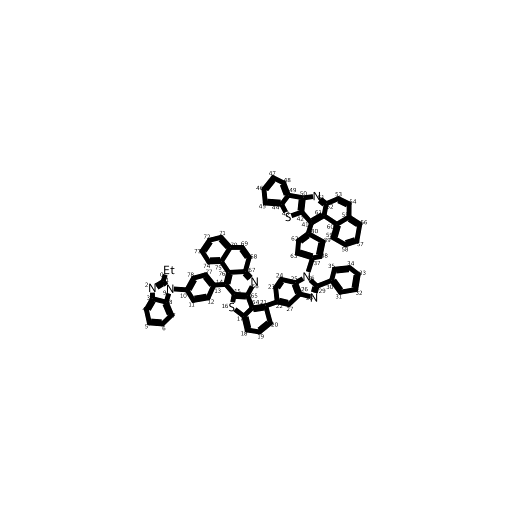 CCc1nc2ccccc2n1-c1ccc(-c2c3sc4cccc(-c5ccc6c(c5)nc(-c5ccccc5)n6-c5ccc(-c6c7sc8ccccc8c7nc7ccc8ccccc8c67)cc5)c4c3nc3ccc4ccccc4c23)cc1